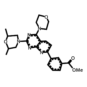 COC(=O)c1cccc(-c2ccc3c(N4CCOCC4)nc(N4CC(C)OC(C)C4)nc3n2)c1